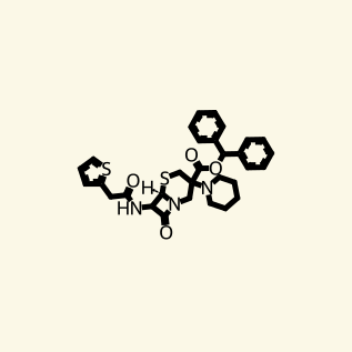 O=C(Cc1cccs1)NC1C(=O)N2CC(C(=O)OC(c3ccccc3)c3ccccc3)(N3CCCCC3)CS[C@H]12